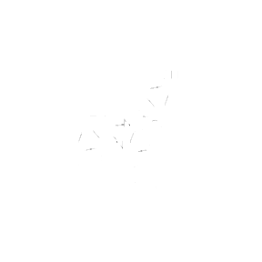 CCOC(=O)c1nc(-c2cccc(Cl)c2Cl)c(C)nc1OS(=O)(=O)c1ccc(C)cc1